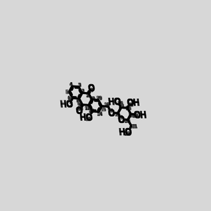 O=C1c2cccc(O)c2C(=O)c2c(O)cc(COC3OC(CO)C(O)C(O)C3O)cc21